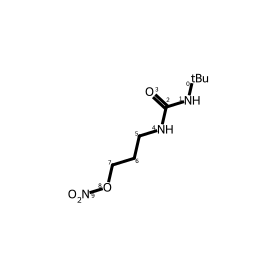 CC(C)(C)NC(=O)NCCCO[N+](=O)[O-]